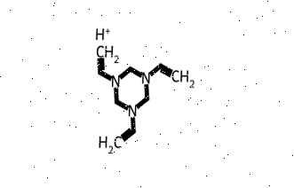 C=CN1CN(C=C)CN(C=C)C1.[H+]